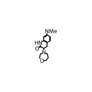 CNc1ccc2c(c1)NC(=O)C(N1CCCOCC1)C2